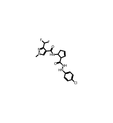 Cn1cc(C(=O)NC2CC=CC2C(=O)NNc2ccc(Cl)cc2)c(C(F)F)n1